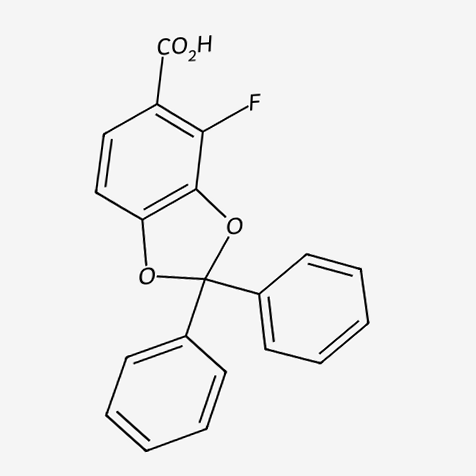 O=C(O)c1ccc2c(c1F)OC(c1ccccc1)(c1ccccc1)O2